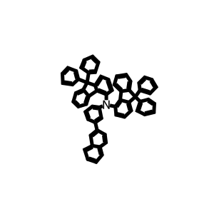 c1ccc(C2(c3ccccc3)c3ccccc3-c3c(N(c4cccc(-c5ccc6ccccc6c5)c4)c4cccc5c4-c4ccccc4C5(c4ccccc4)c4ccccc4)cccc32)cc1